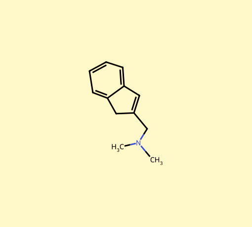 CN(C)CC1=Cc2ccccc2C1